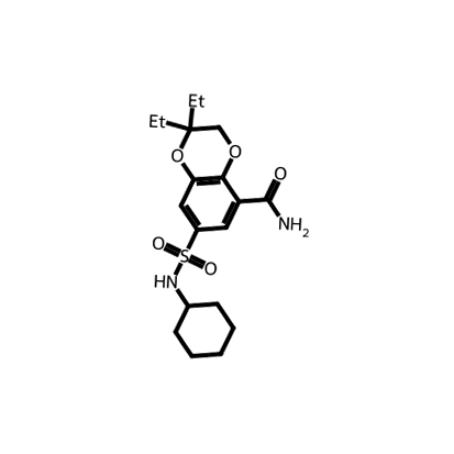 CCC1(CC)COc2c(cc(S(=O)(=O)NC3CCCCC3)cc2C(N)=O)O1